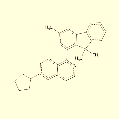 Cc1cc2c(c(-c3nccc4cc(C5CCCC5)ccc34)c1)C(C)(C)c1ccccc1-2